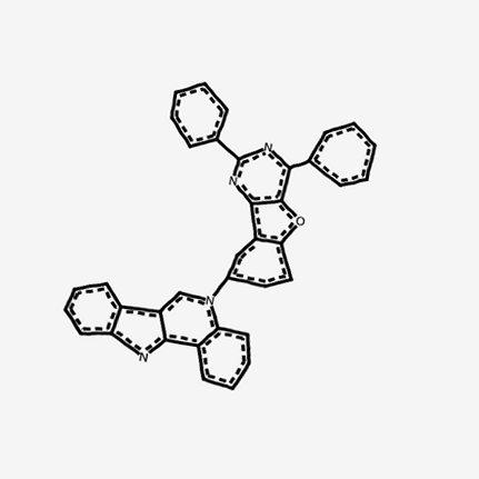 c1ccc(-c2nc(-c3ccccc3)c3oc4ccc(-n5cc6c7ccccc7nc-6c6ccccc65)cc4c3n2)cc1